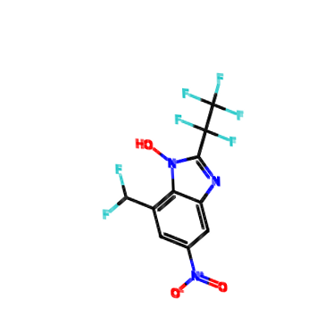 O=[N+]([O-])c1cc(C(F)F)c2c(c1)nc(C(F)(F)C(F)(F)F)n2O